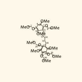 COCOc1cc(OC)c(OCOC)c(CCCCCc2c(OCOC)c(OC)c(OCOC)c(OCOC)c2OC)c1OC